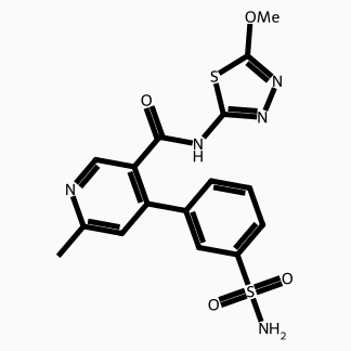 COc1nnc(NC(=O)c2cnc(C)cc2-c2cccc(S(N)(=O)=O)c2)s1